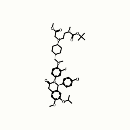 COC(=O)CN(CCN(C)C(=O)OC(C)(C)C)[C@H]1CC[C@H](CN(C)c2ccc(N3C(=O)Cc4cc(OC)c(OC(C)C)cc4[C@@H]3c3ccc(Cl)cc3)cc2F)CC1